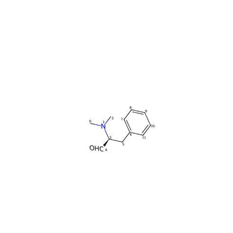 CN(C)[C@H](C=O)Cc1ccccc1